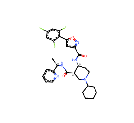 C[C@@H](NC(=O)[C@@H]1CN(C2CCCCC2)CC[C@H]1NC(=O)c1cc(-c2c(F)cc(F)cc2F)on1)c1ccccn1